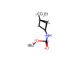 CCOC(=O)C12CC(NC(=O)OC(C)(C)C)(C1)C2